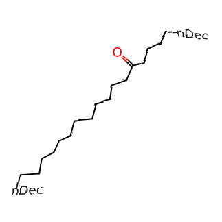 CCCCCCCCCCCCCCCCCCCCCCC(=O)CCCCCCCCCCCCCC